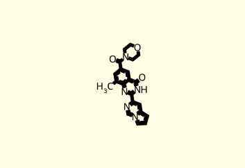 Cc1cc(C(=O)N2CCOCC2)cc2c(=O)[nH]c(-c3cc4cccn4cn3)nc12